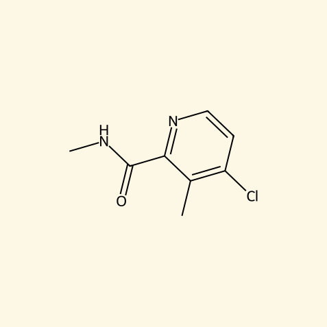 CNC(=O)c1nccc(Cl)c1C